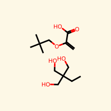 C=C(OCC(C)(C)C)C(=O)O.CCC(CO)(CO)CO